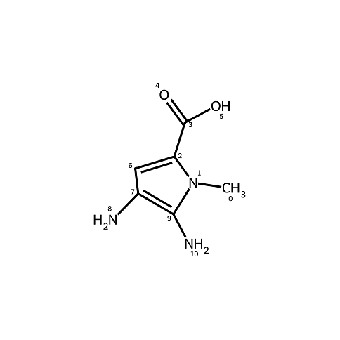 Cn1c(C(=O)O)cc(N)c1N